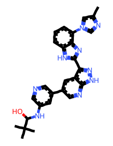 Cc1cn(-c2cccc3[nH]c(-c4n[nH]c5ncc(-c6cncc(NC(O)C(C)(C)C)c6)cc45)nc23)cn1